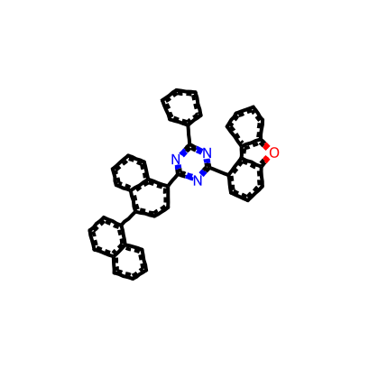 c1ccc(-c2nc(-c3ccc(-c4cccc5ccccc45)c4ccccc34)nc(-c3cccc4oc5ccccc5c34)n2)cc1